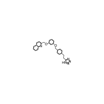 c1cc(OCc2ccc(CCc3nnn[nH]3)cc2)cc(OCc2ccc3ccccc3n2)c1